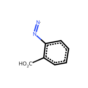 [N]=Nc1ccccc1C(=O)O